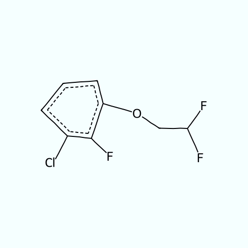 Fc1c(Cl)cccc1OCC(F)F